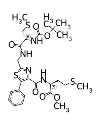 COC(=O)[C@H](CCSC)NC(=O)c1nc(CNC(=O)[C@H](CSC)NC(=O)OC(C)(C)C)sc1-c1ccccc1